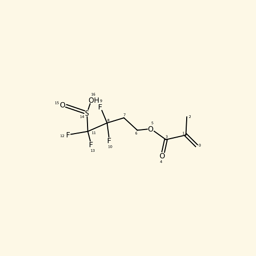 C=C(C)C(=O)OCCC(F)(F)C(F)(F)S(=O)O